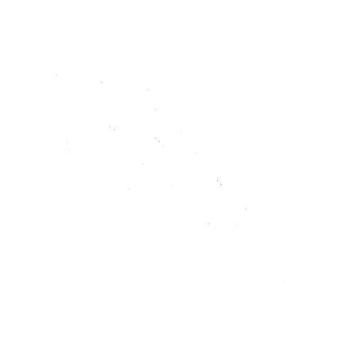 O=C(NCc1c(F)cc(F)cc1F)C1=CN2C(=C(O)C1O)C(=O)N1CC2CCc2cccc(F)c21